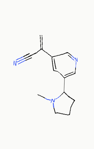 C=C(C#N)c1cncc(C2CCCN2C)c1